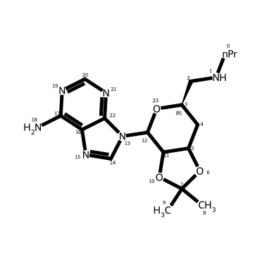 CCCNC[C@H]1CC2OC(C)(C)OC2C(n2cnc3c(N)ncnc32)O1